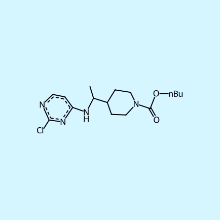 CCCCOC(=O)N1CCC(C(C)Nc2ccnc(Cl)n2)CC1